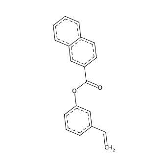 C=Cc1cccc(OC(=O)c2ccc3ccccc3c2)c1